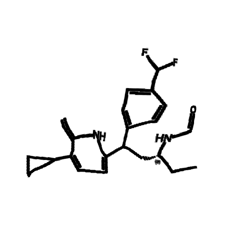 C=C1NC(C(C[C@@H](CC)NC=O)c2ccc(C(F)F)cc2)=CC=C1C1CC1